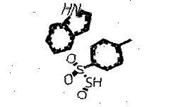 Cc1ccc(S(=O)(=O)[SH]=O)cc1.c1ccc2[nH]ccc2c1